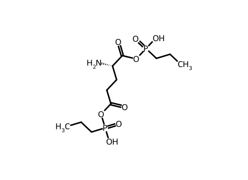 CCCP(=O)(O)OC(=O)CC[C@H](N)C(=O)OP(=O)(O)CCC